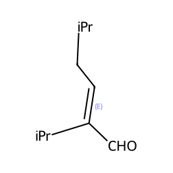 CC(C)C/C=C(/C=O)C(C)C